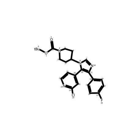 CC(C)(C)OC(=O)N1CCC(n2cnc(-c3ccc(F)cc3)c2-c2ccnc(Cl)c2)CC1